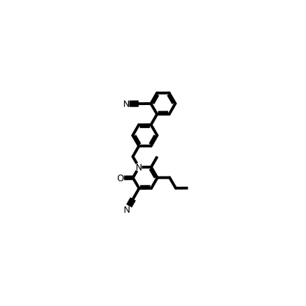 CCCc1cc(C#N)c(=O)n(Cc2ccc(-c3ccccc3C#N)cc2)c1C